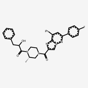 CC(C)c1cc(-c2ccc(F)cc2)nn2cc(C(=O)N3CCN(C(=O)C(O)Cc4ccccc4)[C@@H](C)C3)nc12